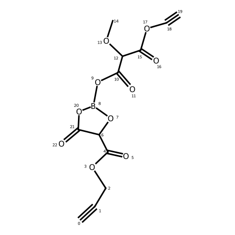 C#CCOC(=O)C1OB(OC(=O)C(OC)C(=O)OC#C)OC1=O